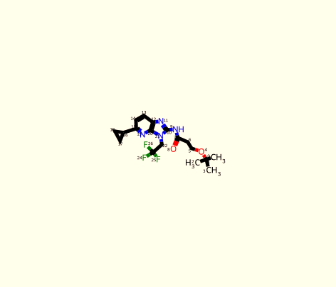 CC(C)(C)OCCC(=O)Nc1nc2ccc(C3CC3)nc2n1CC(F)(F)F